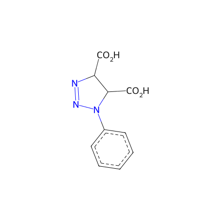 O=C(O)C1N=NN(c2ccccc2)C1C(=O)O